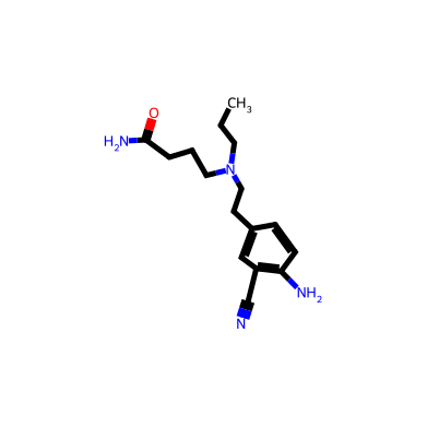 CCCN(CCCC(N)=O)CCc1ccc(N)c(C#N)c1